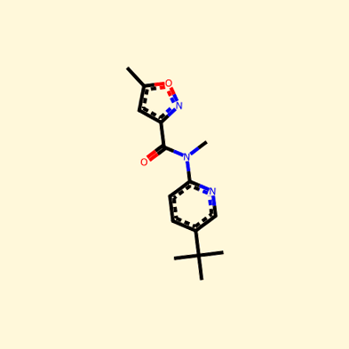 Cc1cc(C(=O)N(C)c2ccc(C(C)(C)C)cn2)no1